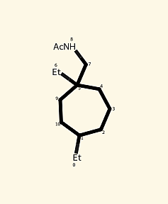 CCC1CCCC(CC)(CNC(C)=O)CC1